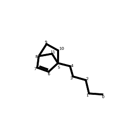 CCCCCC12C=CC(CC1)C2